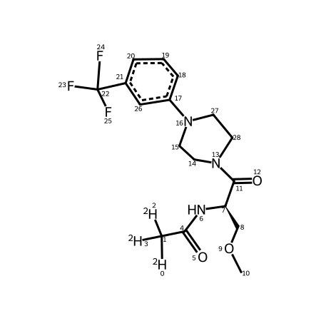 [2H]C([2H])([2H])C(=O)N[C@H](COC)C(=O)N1CCN(c2cccc(C(F)(F)F)c2)CC1